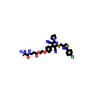 C[C@H](N)C(=O)NCCC(=O)OCCOc1ccc(-c2c(C#N)c(SCc3csc(-c4ccc(Cl)cc4)n3)nc(N3CCCC3)c2C#N)cc1